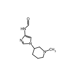 CN1CCCC(n2cnc(NC=O)c2)C1